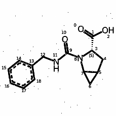 O=C(O)[C@@H]1CC2CC2N1C(=O)NCc1ccccc1